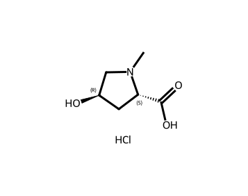 CN1C[C@H](O)C[C@H]1C(=O)O.Cl